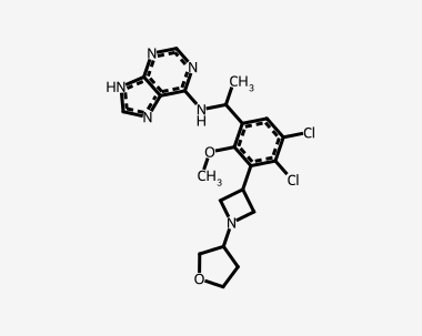 COc1c(C(C)Nc2ncnc3[nH]cnc23)cc(Cl)c(Cl)c1C1CN(C2CCOC2)C1